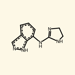 c1cc(NC2=NCCN2)c2[nH]ncc2c1